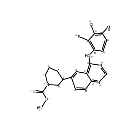 CC(C)(C)OC(=O)N1CCCC(c2ccc3ncnc(Nc4ccc(Cl)c(Cl)c4F)c3c2)C1